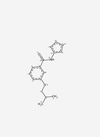 CC(C)COc1cccc(C(=O)Nc2ccoc2)c1